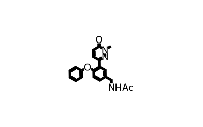 CC(=O)NCc1ccc(Oc2ccccc2)c(-c2ccc(=O)n(C)n2)c1